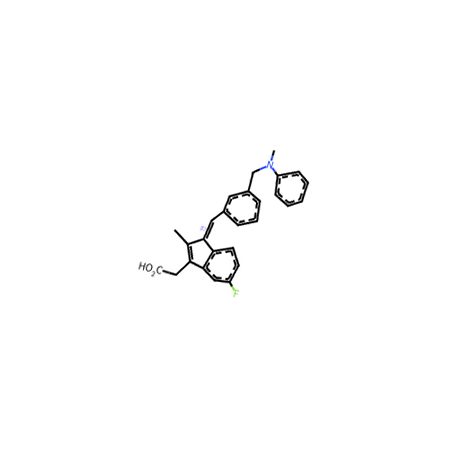 CC1=C(CC(=O)O)c2cc(F)ccc2/C1=C\c1cccc(CN(C)c2ccccc2)c1